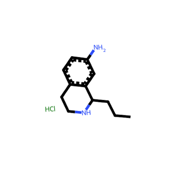 CCCC1NCCc2ccc(N)cc21.Cl